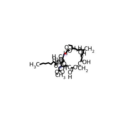 C=C1C[C@@H]2C[C@@H]3CCO[C@H](/C=C/C(C)(C)[C@]4(O)O[C@@H](C/C(=C\C(=O)OC)[C@@H]4OC(=O)CCCCCCC)C[C@H](CO)OC(=C)C[C@H](O)C[C@H](C1)O2)O3